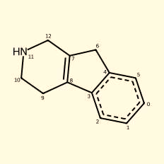 c1ccc2c(c1)CC1=C2CCNC1